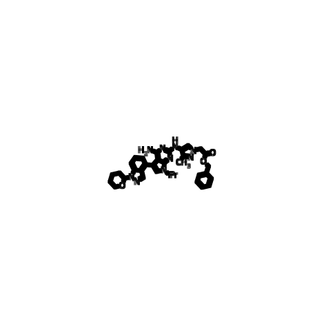 Cc1nn(CC(=O)OCc2ccccc2)cc1Nc1nc(N)c2c(-c3cccc4c3cnn4C3CCCCO3)cn(C(C)C)c2n1